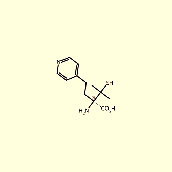 CC(C)(S)[C@@](N)(CCc1ccncc1)C(=O)O